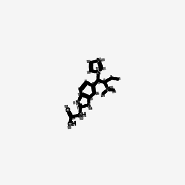 CCC(C(c1ccc2nc(NC(=O)O)sc2c1)n1ccnc1)N(C)C